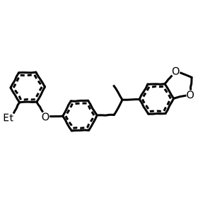 CCc1ccccc1Oc1ccc(CC(C)c2ccc3c(c2)OCO3)cc1